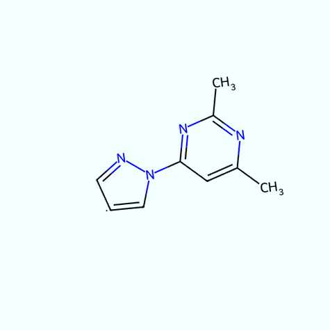 Cc1cc(-n2c[c]cn2)nc(C)n1